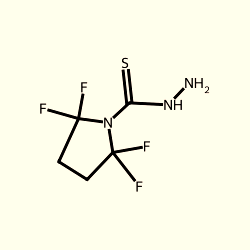 NNC(=S)N1C(F)(F)CCC1(F)F